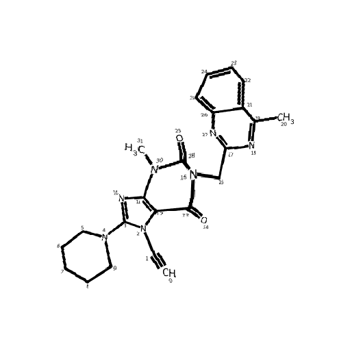 C#Cn1c(N2CCCCC2)nc2c1c(=O)n(Cc1nc(C)c3ccccc3n1)c(=O)n2C